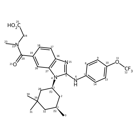 C[C@@H]1C[C@H](n2c(Nc3ccc(OC(F)(F)F)cc3)nc3ccc(C(=O)N(C)CC(=O)O)cc32)CC(C)(C)C1